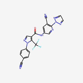 N#Cc1ccc(-n2ncc(C(=O)Nc3cnc(-n4nccn4)c(C#N)c3)c2C(F)(F)F)cc1